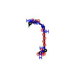 Cc1[nH]c(/C=C2\C(=O)Nc3ccc(F)cc32)c(C)c1C(=O)NCCCN1CCN(CC(=O)NCCOCCOCCOCCOCCNc2cccc3c2C(=O)N(C2CCC(=O)NC2=O)C3=O)CC1